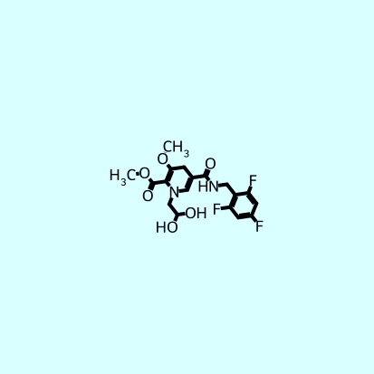 COC(=O)C1=C(OC)CC(C(=O)NCc2c(F)cc(F)cc2F)=CN1CC(O)O